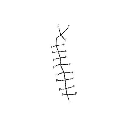 FC(F)(F)CC(F)(F)C(F)(F)C(F)(F)C(F)(F)C(F)(F)C(F)(F)C(F)(F)C(F)(F)F